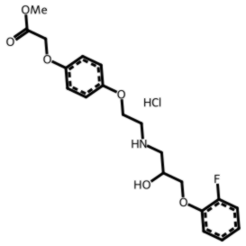 COC(=O)COc1ccc(OCCNCC(O)COc2ccccc2F)cc1.Cl